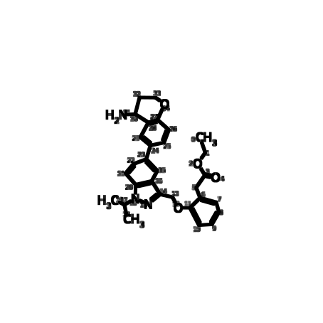 CCOC(=O)Cc1ccccc1OCc1nn(C(C)C)c2ccc(-c3ccc4c(c3)C(N)CCO4)cc12